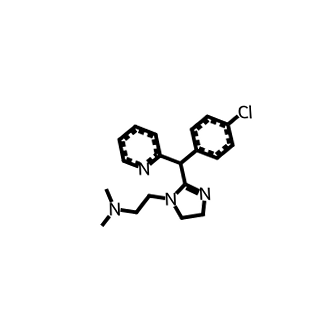 CN(C)CCN1CCN=C1C(c1ccc(Cl)cc1)c1ccccn1